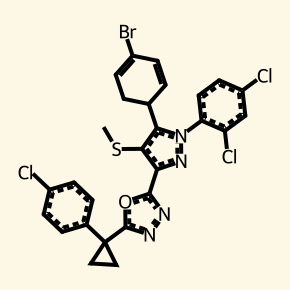 CSc1c(-c2nnc(C3(c4ccc(Cl)cc4)CC3)o2)nn(-c2ccc(Cl)cc2Cl)c1C1C=CC(Br)=CC1